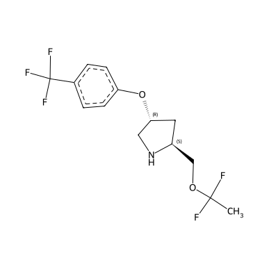 CC(F)(F)OC[C@@H]1C[C@@H](Oc2ccc(C(F)(F)F)cc2)CN1